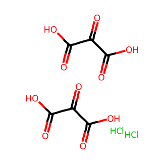 Cl.Cl.O=C(O)C(=O)C(=O)O.O=C(O)C(=O)C(=O)O